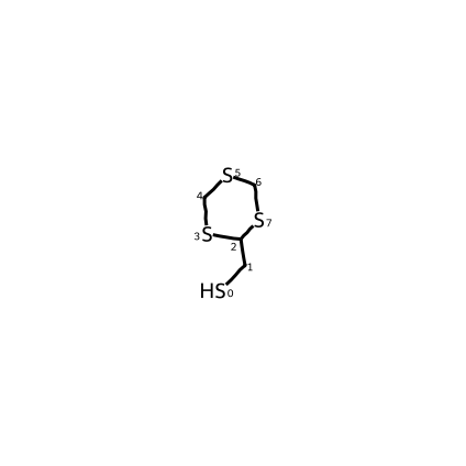 SCC1SCSCS1